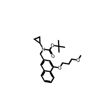 COCCCOc1cc(CN(C(=O)OC(C)(C)C)C2CC2)cc2ccccc12